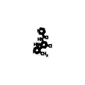 Cc1cncc2[nH]c3c(NC(=O)c4cccnc4)cc(Cl)cc3c12